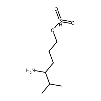 CC(C)C(N)CCCO[SH](=O)=O